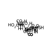 CCC(=O)NC(CNC(=O)CS)C(=O)N1CCC(C(=O)NC(Cc2ccc3ccccc3c2)C(=O)NCCCCC(NC(=O)NC(CCC(=O)O)C(=O)O)C(=O)O)CC1